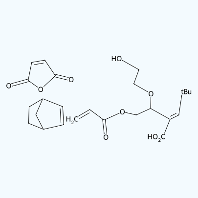 C1=CC2CCC1C2.C=CC(=O)OCC(OCCO)C(=CC(C)(C)C)C(=O)O.O=C1C=CC(=O)O1